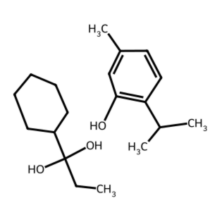 CCC(O)(O)C1CCCCC1.Cc1ccc(C(C)C)c(O)c1